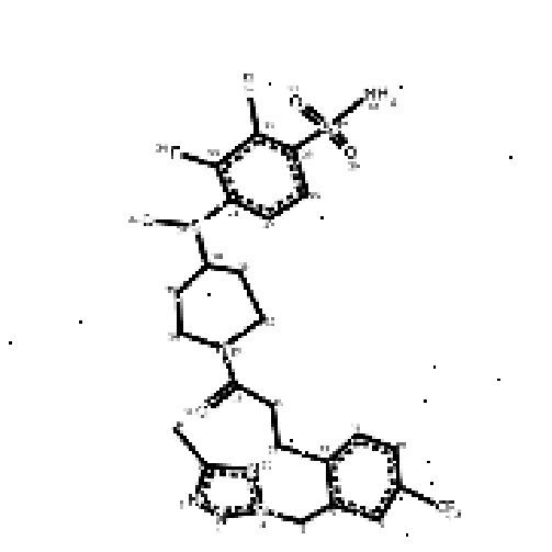 Cc1nnn(Cc2cc(C(F)(F)F)ccc2CCC(=O)N2CCC([S+]([O-])c3ccc(S(N)(=O)=O)c(F)c3F)CC2)n1